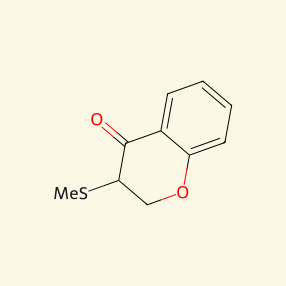 CSC1COc2ccccc2C1=O